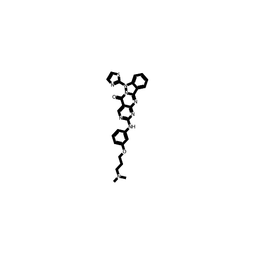 CN(C)CCCOc1cccc(Nc2ncc3c(=O)n4c(nc3n2)c2ccccc2n4-c2nccs2)c1